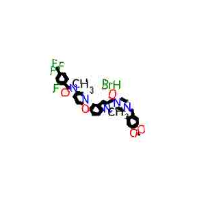 Br.CN(C(=O)c1ccc(C(F)(F)F)cc1F)c1ccc(Oc2ccc3c(c2)cc(C(=O)N2CCN(Cc4ccc5c(c4)OCO5)CC2)n3C)nc1